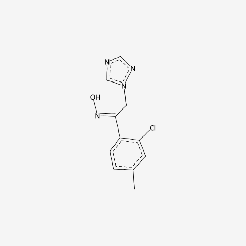 Cc1ccc(C(Cn2cncn2)=NO)c(Cl)c1